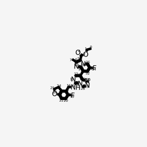 CCOC(=O)c1c(C)nc2c(-c3cnc(NCc4c(F)ccc5c4CCO5)n4cnnc34)cc(F)cn12